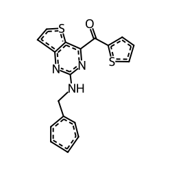 O=C(c1cccs1)c1nc(NCc2ccccc2)nc2ccsc12